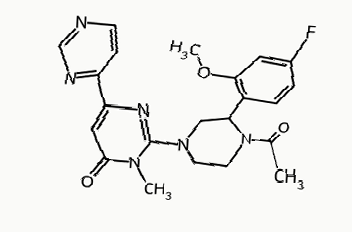 COc1cc(F)ccc1C1CN(c2nc(-c3ccncn3)cc(=O)n2C)CCN1C(C)=O